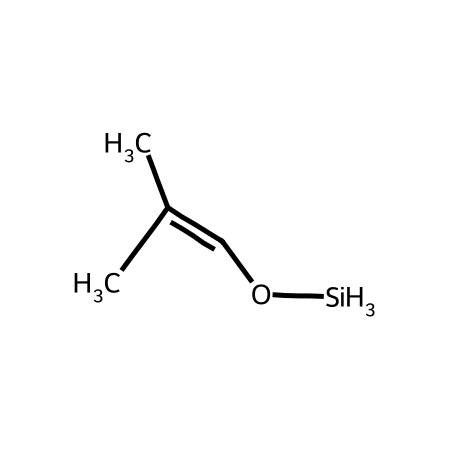 CC(C)=CO[SiH3]